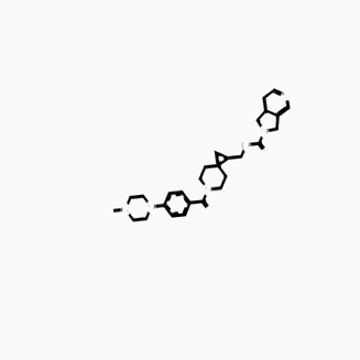 CN1CCN(c2ccc(C(=O)N3CCC4(CC3)CC4CNC(=O)N3CC4=CN=CCC4C3)cc2)CC1